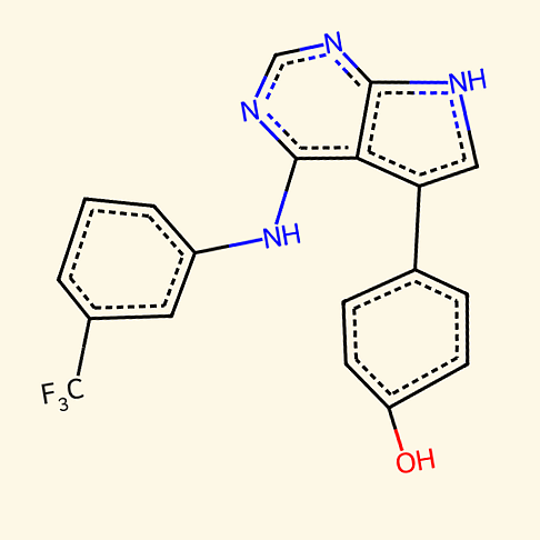 Oc1ccc(-c2c[nH]c3ncnc(Nc4cccc(C(F)(F)F)c4)c23)cc1